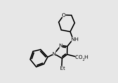 CCc1c(C(=O)O)c(NC2CCOCC2)nn1-c1ccccc1